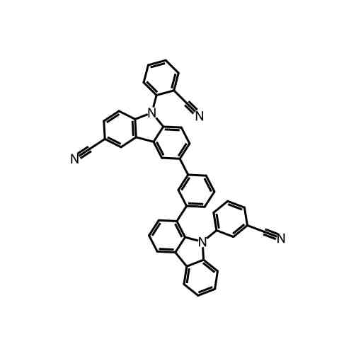 N#Cc1cccc(-n2c3ccccc3c3cccc(-c4cccc(-c5ccc6c(c5)c5cc(C#N)ccc5n6-c5ccccc5C#N)c4)c32)c1